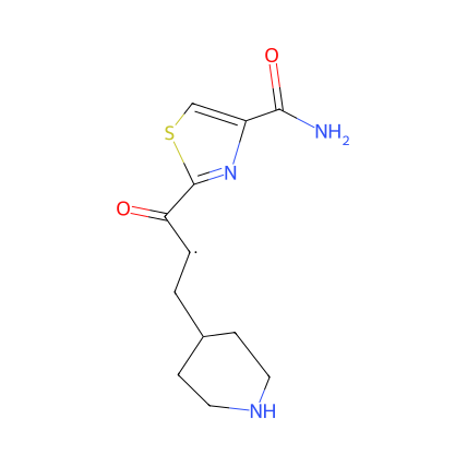 NC(=O)c1csc(C(=O)[CH]CC2CCNCC2)n1